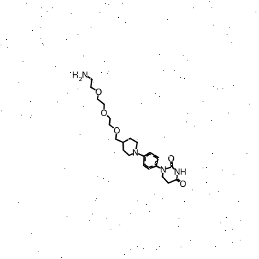 NCCOCCOCCOCC1CCN(c2ccc(N3CCC(=O)NC3=O)cc2)CC1